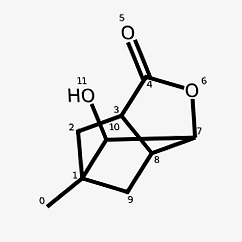 CC12CC3C(=O)OC(C3C1)C2O